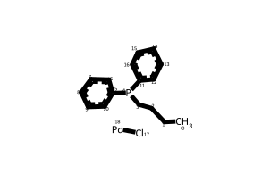 CCCCP(c1ccccc1)c1ccccc1.[Cl][Pd]